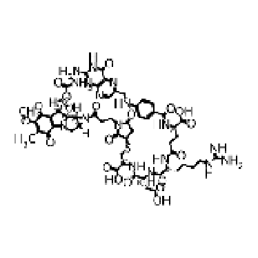 COC1=C(C)C(=O)C2=C(C1=O)[C@H](COC(N)=O)[C@]1(OC)[C@H]3[C@@H](CN21)N3C(=O)CCN1C(=O)CC(SC[C@@H](NC(=O)[C@@H](CC(=O)O)NC(=O)[C@@H](CCCCNC(=N)N)NC(=O)CC[C@@H](NC(=O)c2ccc(NCc3cnc4nc(N)[nH]c(=O)c4n3)cc2)C(=O)O)C(=O)O)C1=O